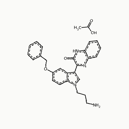 CC(=O)O.NCCCn1cc(-c2nc3ccccc3[nH]c2=O)c2cc(OCc3ccccc3)ccc21